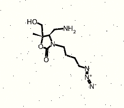 C[C@]1(CO)OC(=O)N(CCCCN=[N+]=[N-])[C@@H]1CN